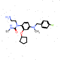 CCNC(=O)N(CCN)c1ccc(N(C)Cc2ccc(F)cc2)cc1OC1CCCC1